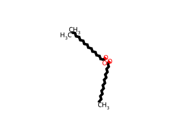 CCCCCCCCCCCCCCCC(=O)OC(=O)CCCCCCCCCCCCCCC(C)C